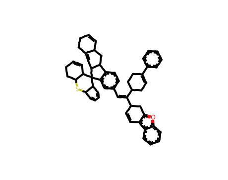 C1=CC2SC3CCC=CC3C3(c4cc(/C=C(/C5C=Cc6c(oc7ccccc67)C5)C5CC=C(c6ccccc6)CC5)ccc4C4CC5C=CCCC5=CC43)C2C=C1